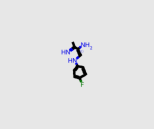 CC(=N)/C(N)=C\Nc1ccc(F)cc1